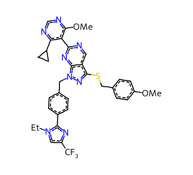 CCn1cc(C(F)(F)F)nc1-c1ccc(Cn2nc(SCc3ccc(OC)cc3)c3cnc(-c4c(OC)ncnc4C4CC4)nc32)cc1